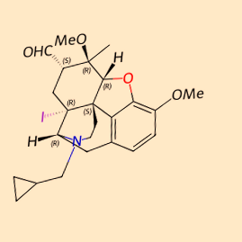 COc1ccc2c3c1O[C@H]1[C@](C)(OC)[C@@H](C=O)C[C@]4(I)[C@@H](C2)N(CC2CC2)CC[C@]314